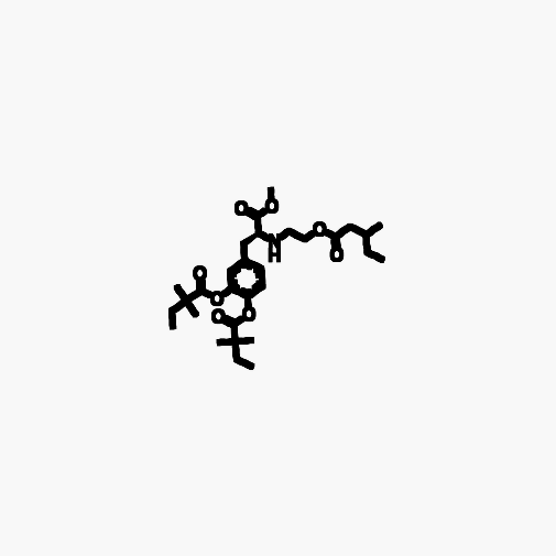 CCC(C)CC(=O)OCCN[C@@H](Cc1ccc(OC(=O)C(C)(C)CC)c(OC(=O)C(C)(C)CC)c1)C(=O)OC